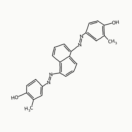 Cc1cc(N=Nc2cccc3c(N=Nc4ccc(O)c(C)c4)cccc23)ccc1O